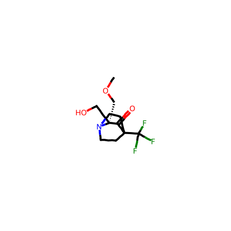 COC[C@]1(CO)C(=O)C2(C(F)(F)F)CCN1CC2